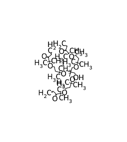 C=CC(=O)C(C)(C)OCCC(C)(C)OCC(CO)(COC(C)(C)CCOC(C)(C)C(=O)C=C)COC(C)(C)CC(C)OC(C)(C)C(=O)C=C